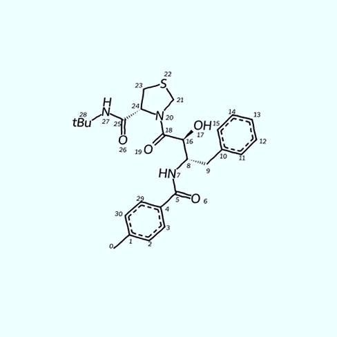 Cc1ccc(C(=O)N[C@@H](Cc2ccccc2)[C@H](O)C(=O)N2CSC[C@H]2C(=O)NC(C)(C)C)cc1